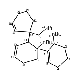 CCCC[C]1CCCC=C1C1(CCCC)CCC=CC1C1(CC(C)C)C=CCCC1